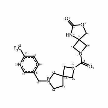 O=C1NC2(CO1)CN(C(=O)N1CC3(CCN(Cc4ccc(C(F)(F)F)nc4)C3)C1)C2